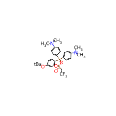 CN(C)c1ccc(S(OS(=O)(=O)CC(F)(F)F)(c2ccc(OC(C)(C)C)cc2)c2ccc(N(C)C)cc2)cc1